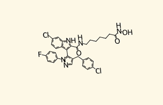 O=C(CCCCCCNC(=O)c1[nH]c2cc(Cl)ccc2c1-c1c(Cc2ccc(Cl)cc2)cnn1-c1ccc(F)cc1)NO